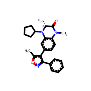 Cc1onc(-c2ccccc2)c1-c1ccc2c(c1)N(C1CCCC1)[C@H](C)C(=O)N2C